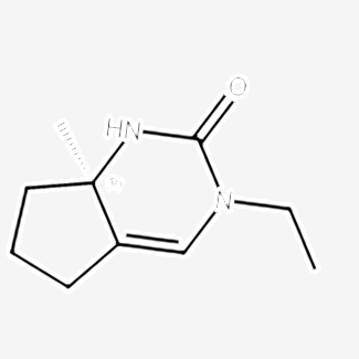 CCN1C=C2CCC[C@@]2(C)NC1=O